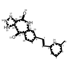 Cc1cccc(/C=C/c2ccc3c(=O)c4[nH]nnc4c(=O)[nH]c3c2)n1